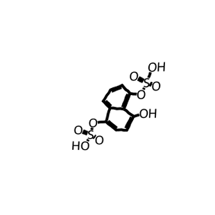 O=S(=O)(O)Oc1ccc(O)c2c(OS(=O)(=O)O)cccc12